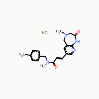 Cc1ccc(CN(C)C(=O)C=Cc2cnc3c(c2)CN(C)CC(=O)N3)cc1.Cl